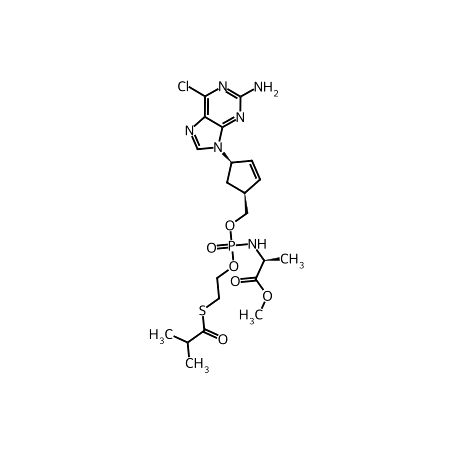 COC(=O)[C@H](C)NP(=O)(OCCSC(=O)C(C)C)OC[C@@H]1C=C[C@H](n2cnc3c(Cl)nc(N)nc32)C1